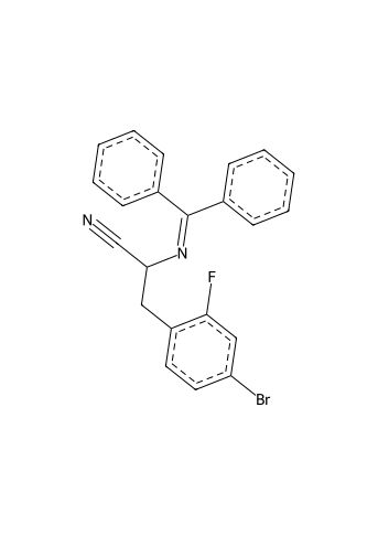 N#CC(Cc1ccc(Br)cc1F)N=C(c1ccccc1)c1ccccc1